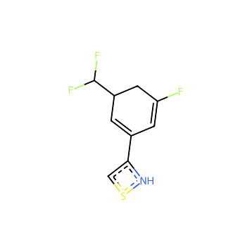 FC1=CC(c2cs[nH]2)=CC(C(F)F)C1